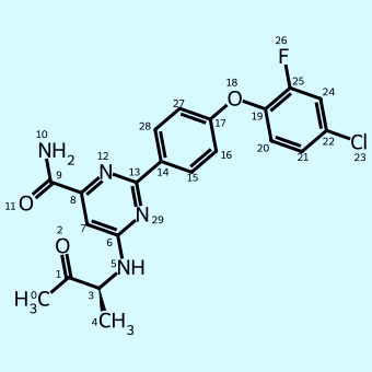 CC(=O)[C@H](C)Nc1cc(C(N)=O)nc(-c2ccc(Oc3ccc(Cl)cc3F)cc2)n1